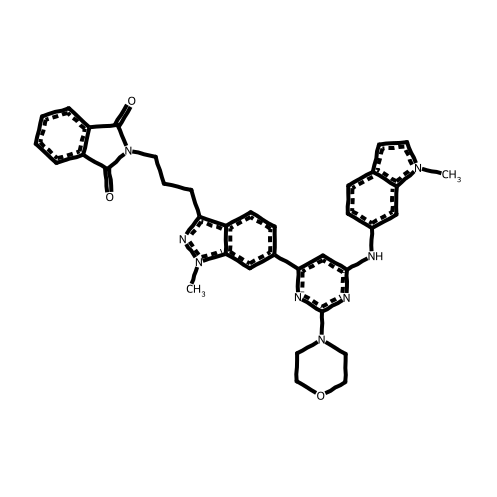 Cn1ccc2ccc(Nc3cc(-c4ccc5c(CCCN6C(=O)c7ccccc7C6=O)nn(C)c5c4)nc(N4CCOCC4)n3)cc21